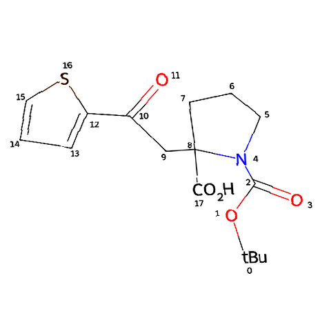 CC(C)(C)OC(=O)N1CCCC1(CC(=O)c1cccs1)C(=O)O